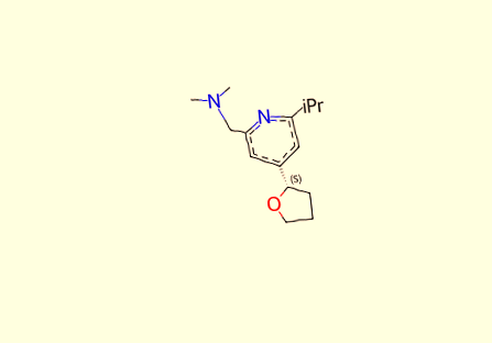 CC(C)c1cc([C@@H]2CCCO2)cc(CN(C)C)n1